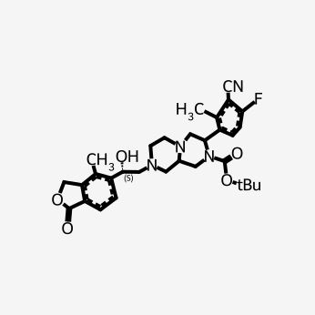 Cc1c(C2CN3CCN(C[C@@H](O)c4ccc5c(c4C)COC5=O)CC3CN2C(=O)OC(C)(C)C)ccc(F)c1C#N